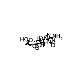 CC(CCO[P@]1(=O)OC[C@H]2O[C@@H](n3cnc4c(N)nc(Cl)nc43)[C@@H](F)[C@@H]2O1)C(=O)O